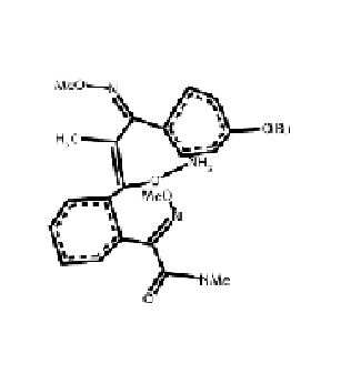 CNC(=O)/C(=N/OC)c1ccccc1/C(ON)=C(C)/C(=N\OC)c1ccc(OCC(C)C)cc1